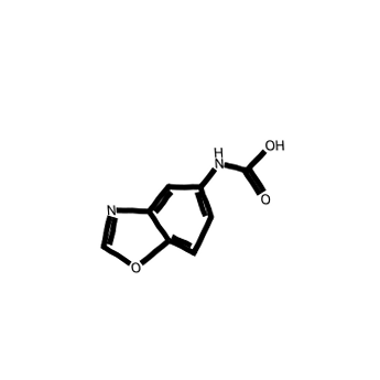 O=C(O)Nc1ccc2ocnc2c1